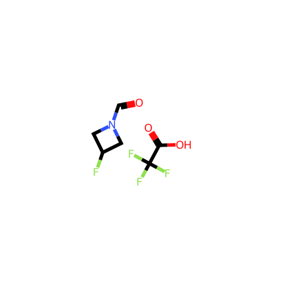 O=C(O)C(F)(F)F.O=CN1CC(F)C1